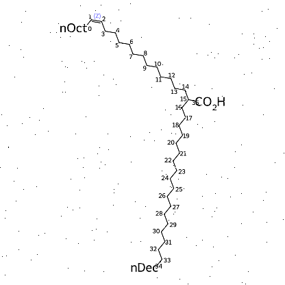 CCCCCCCC/C=C\CCCCCCCCCCCCC(CCCCCCCCCCCCCCCCCCCCCCCCCCCC)C(=O)O